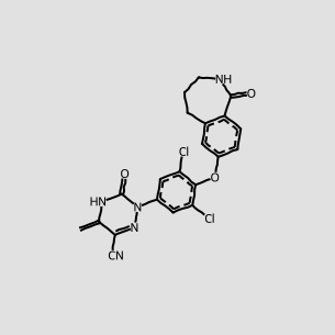 C=C1NC(=O)N(c2cc(Cl)c(Oc3ccc4c(c3)CCCNC4=O)c(Cl)c2)N=C1C#N